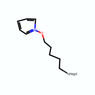 CCCCCCCCCCCCO[n+]1ccccc1